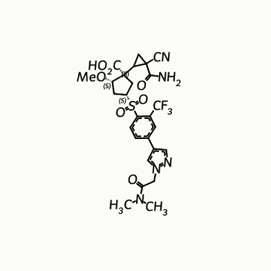 CO[C@H]1C[C@@H](S(=O)(=O)c2ccc(-c3cnn(CC(=O)N(C)C)c3)cc2C(F)(F)F)C[C@]1(C(=O)O)C1CC1(C#N)C(N)=O